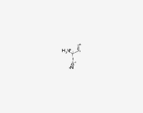 C=CC(N)C#N